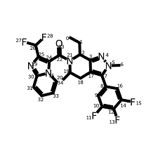 CCC1c2nn(C)c(-c3cc(F)c(F)c(F)c3)c2CC(C)N1C(=O)c1c(C(F)F)nc2ccccn12